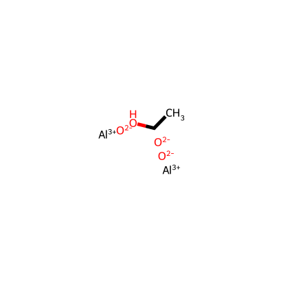 CCO.[Al+3].[Al+3].[O-2].[O-2].[O-2]